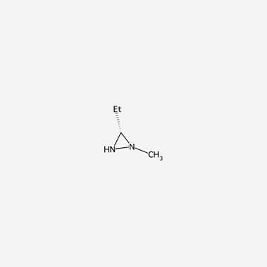 CC[C@H]1NN1C